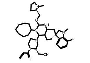 C=CC(=O)N1CCN(C2C3CC[C@]4(CC3NC(OC[C@H]3CCCN3C)N2C2CCCCCCC2)CN(C)c2c(F)cccc24)C[C@H]1CC#N